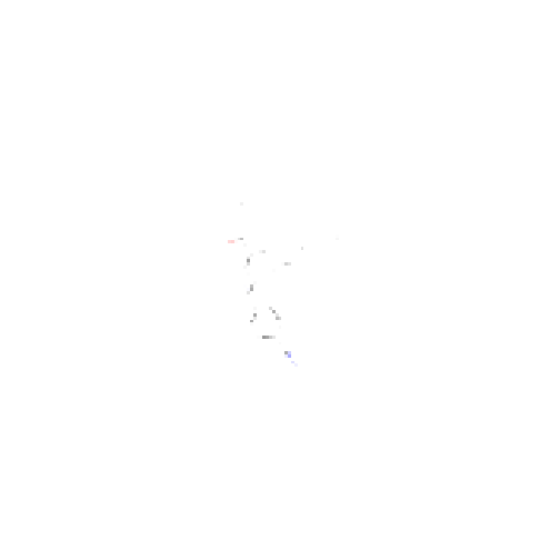 CCCCCCC(=C\c1ccc(C#N)cc1)/C=C(\C)C(=O)OCC